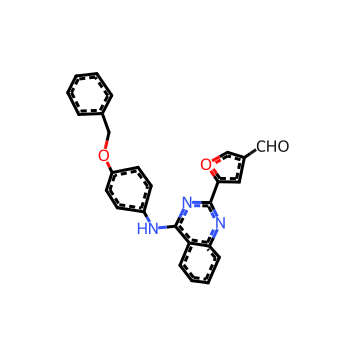 O=Cc1coc(-c2nc(Nc3ccc(OCc4ccccc4)cc3)c3ccccc3n2)c1